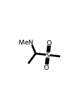 C[N]C(C)S(C)(=O)=O